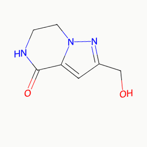 O=C1NCCn2nc(CO)cc21